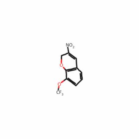 O=[N+]([O-])C1=Cc2cccc(OC(F)(F)F)c2OC1